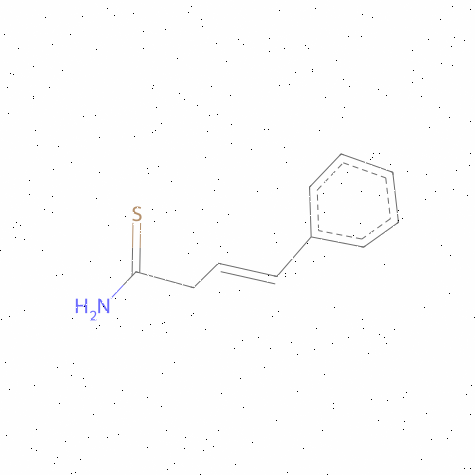 NC(=S)C/C=C/c1ccccc1